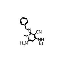 CCNc1cc(N)n(C)/c(=N\Cc2ccccc2)c1C#N